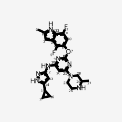 Cc1cc2c(F)c(Oc3nc(Nc4cc(C5CC5)[nH]n4)cc(N4CCNC(C)C4)n3)cc(F)c2[nH]1